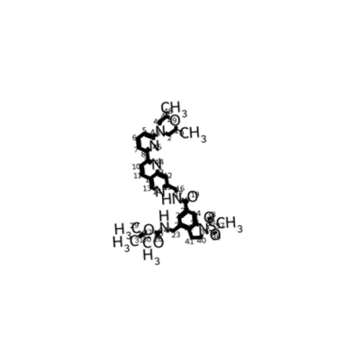 C[C@@H]1CN(c2cccc(-c3ccc4cnc(CNC(=O)c5cc(CNC(=O)OC(C)(C)C)c6c(c5)N(S(C)(=O)=O)CC6)cc4n3)n2)C[C@H](C)O1